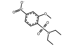 CCN(CC)S(=O)(=O)c1ccc([N+](=O)[O-])cc1OC